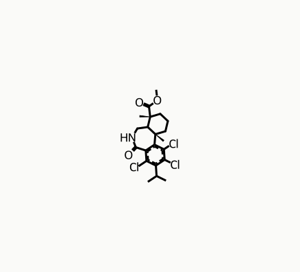 COC(=O)[C@]1(C)CCC[C@]2(C)c3c(Cl)c(Cl)c(C(C)C)c(Cl)c3C(=O)NCC12